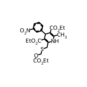 CCOC(=O)OCSCC1=C(C(=O)OCC)C(c2cccc([N+](=O)[O-])c2)C(C(=O)OCC)=C(C)N1